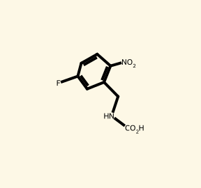 O=C(O)NCc1cc(F)ccc1[N+](=O)[O-]